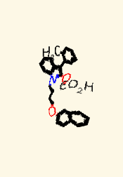 Cc1ccccc1-c1c(OC(=O)O)n(CCCCOc2ccc3ccccc3c2)c2ccccc12